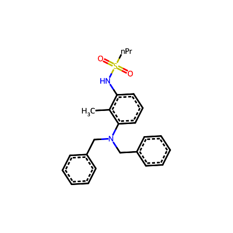 CCCS(=O)(=O)Nc1cccc(N(Cc2ccccc2)Cc2ccccc2)c1C